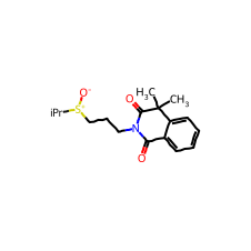 CC(C)[S+]([O-])CCCN1C(=O)c2ccccc2C(C)(C)C1=O